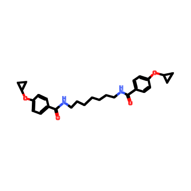 O=C(NCCCCCCCNC(=O)c1ccc(OC2CC2)cc1)c1ccc(OC2CC2)cc1